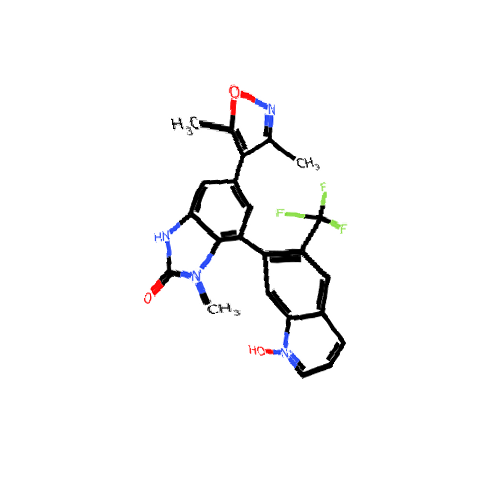 Cc1noc(C)c1-c1cc(-c2cc3c(ccc[n+]3O)cc2C(F)(F)F)c2c(c1)[nH]c(=O)n2C